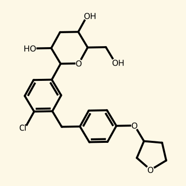 OCC1OC(c2ccc(Cl)c(Cc3ccc(OC4CCOC4)cc3)c2)C(O)CC1O